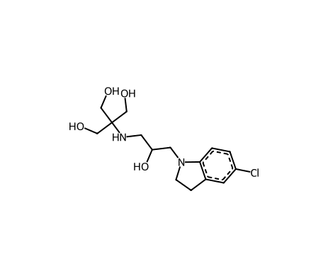 OCC(CO)(CO)NCC(O)CN1CCc2cc(Cl)ccc21